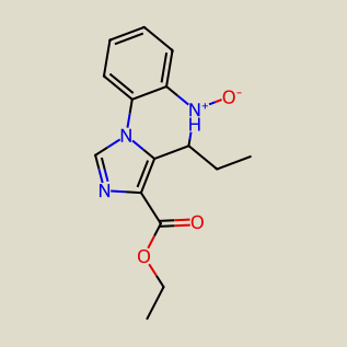 CCOC(=O)c1ncn2c1C(CC)[NH+]([O-])c1ccccc1-2